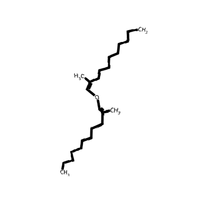 CCCCCCCCCC(C)=COC=C(C)CCCCCCCCC